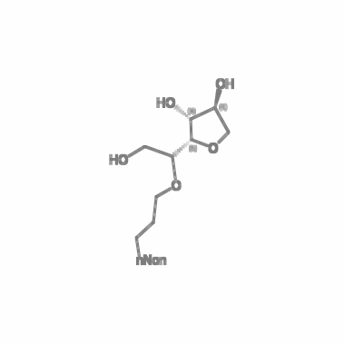 CCCCCCCCCCCCOC(CO)[C@H]1OC[C@H](O)[C@H]1O